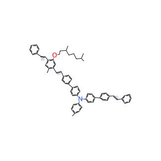 Cc1ccc(N(c2ccc(-c3ccc(/C=C/c4ccccc4)cc3)cc2)c2ccc(-c3ccc(/C=C/c4cc(OCCC(C)CCCC(C)C)c(/C=C/c5ccccc5)cc4C)cc3)cc2)cc1